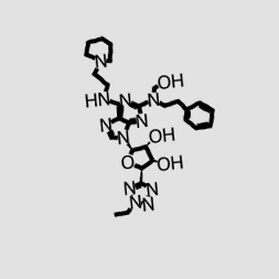 CCn1nnc([C@H]2O[C@@H](n3cnc4c(NCCN5CCCCC5)nc(N(CO)CCc5ccccc5)nc43)[C@H](O)[C@@H]2O)n1